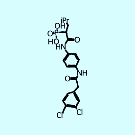 CC(C)CC(C(=O)Nc1ccc(NC(=O)Cc2ccc(Cl)c(Cl)c2)cc1)P(=O)(O)O